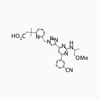 COCC(C)Nc1nc(-c2cccc(C#N)c2)cc(-c2cn(Cc3cccc(C(C)(C)CC(=O)O)n3)nn2)n1